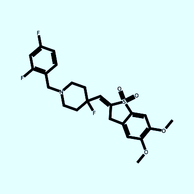 COc1cc2c(cc1OC)S(=O)(=O)/C(=C/C1(F)CCN(Cc3ccc(F)cc3F)CC1)C2